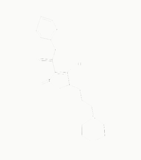 O=C(Cc1ccccc1)C1=C(O)C(CCCN2CCOCC2)OC1=O